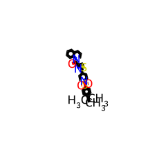 CC(C)(C)c1ccc(S(=O)(=O)N2CCC(c3nc(C(=O)N4CCCC5CCCCC54)cs3)CC2)cc1